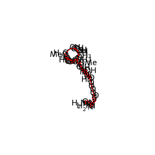 CO[C@H]1C[C@@H]2CC[C@@H](C)[C@@](O)(O2)C(=O)C(=O)N2CCCC[C@H]2C(=O)O[C@H]([C@H](N)C[C@@H]2CC[C@@H](OC(=O)NCc3cnc(N4CCN(c5ncc(C(=O)NCCOCCOCCOCCOCCC(=O)N6CCc7cc(Cn8nc(-c9ccc%10oc(N)nc%10c9)c9c(N)ncnc98)ccc7C6)cn5)CC4CO)nc3)[C@H](OC)C2)CC(=O)[C@H](C)/C=C(\C)[C@@H](O)[C@@H](O)C(=O)[C@H](C)C[C@H](C)/C=C/C=C/C=C/1C